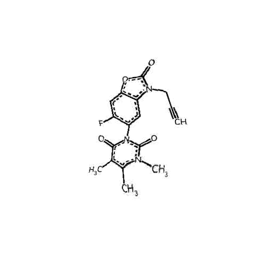 C#CCn1c(=O)oc2cc(F)c(-n3c(=O)c(C)c(C)n(C)c3=O)cc21